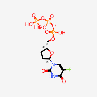 O=c1[nH]c(=O)n([C@@H]2CC[C@H](COP(=O)(O)OP(=O)(O)OP(=O)(O)O)O2)cc1F